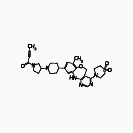 CC#CC(=O)N1CCC(N2CCC(c3cc(C)c4c(c3)Nc3ncnc(N5CCS(=O)(=O)CC5)c3CO4)CC2)C1